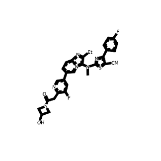 CCc1nc2ccc(-c3cnc(CC(=O)N4CC(O)C4)c(F)c3)cn2c1N(C)c1nc(-c2ccc(F)cc2)c(C#N)s1